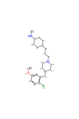 CCNC1CCC(CCCN2CCC(Cc3cc(OC(C)C)ccc3Br)CC2)CC1